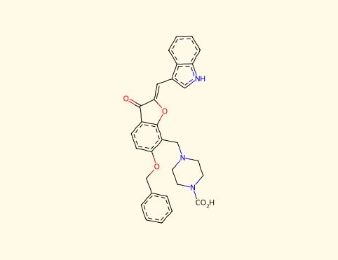 O=C1C(=Cc2c[nH]c3ccccc23)Oc2c1ccc(OCc1ccccc1)c2CN1CCN(C(=O)O)CC1